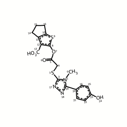 Cn1c(SCC(=O)Oc2sc3c(c2C(=O)O)CCC3)nnc1-c1ccc(O)cc1